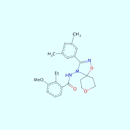 CCc1c(OC)cccc1C(=O)NN1C(c2cc(C)cc(C)c2)=NOC12CCOCC2